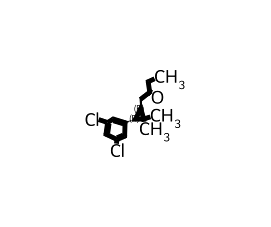 CCC(=O)C[C@@H]1[C@@H](c2cc(Cl)cc(Cl)c2)C1(C)C